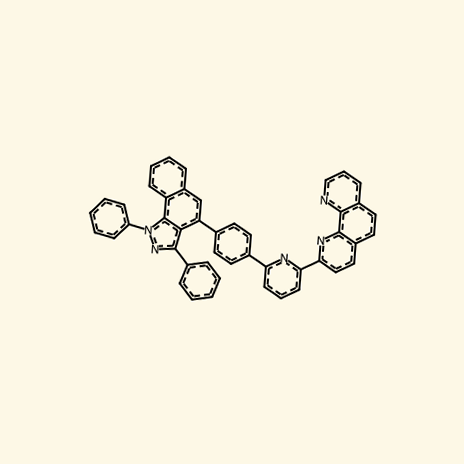 c1ccc(-c2nn(-c3ccccc3)c3c2c(-c2ccc(-c4cccc(-c5ccc6ccc7cccnc7c6n5)n4)cc2)cc2ccccc23)cc1